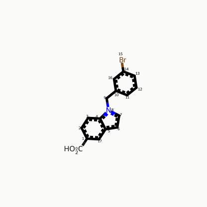 O=C(O)c1ccc2c(ccn2Cc2cccc(Br)c2)c1